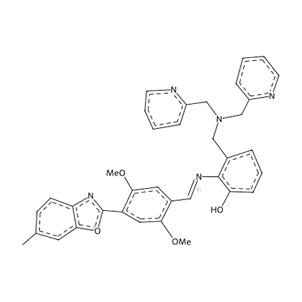 COc1cc(-c2nc3ccc(C)cc3o2)c(OC)cc1/C=N/c1c(O)cccc1CN(Cc1ccccn1)Cc1ccccn1